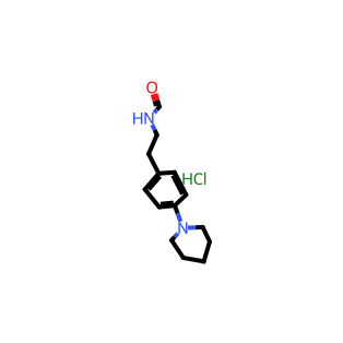 Cl.O=CNCCc1ccc(N2CCCCC2)cc1